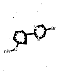 CCCOc1cccc(-c2ncc(Br)cn2)c1